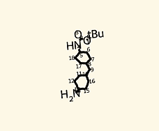 CC(C)(C)OC(=O)NC1CCC(CC2CCC(N)CC2)CC1